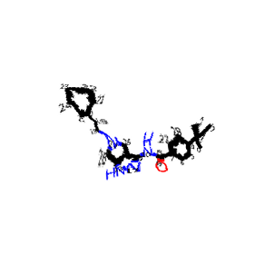 CC(C)(C)c1ccc(C(=O)Nc2n[nH]c3c2CN(CCc2ccccc2)C3)cc1